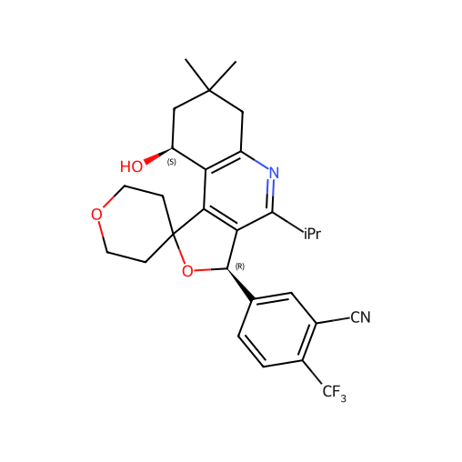 CC(C)c1nc2c(c3c1[C@@H](c1ccc(C(F)(F)F)c(C#N)c1)OC31CCOCC1)[C@@H](O)CC(C)(C)C2